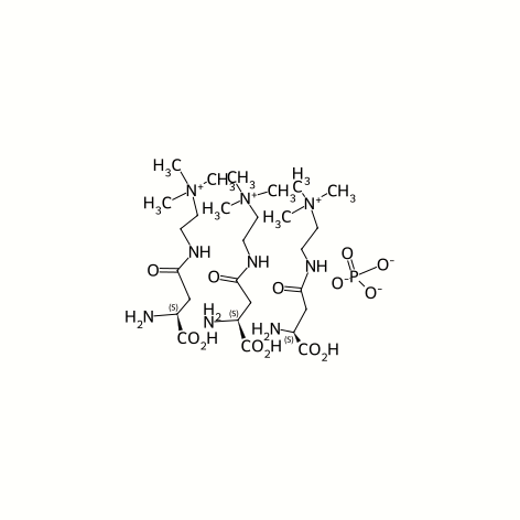 C[N+](C)(C)CCNC(=O)C[C@H](N)C(=O)O.C[N+](C)(C)CCNC(=O)C[C@H](N)C(=O)O.C[N+](C)(C)CCNC(=O)C[C@H](N)C(=O)O.O=P([O-])([O-])[O-]